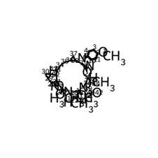 COc1ccc2nc3c(nc2c1)O[C@H]1CN(C(=O)[C@H](C(C)(C)C)NC(=O)O[C@@H]2CC4CC4[C@H]2CCCC2CC32)[C@H](C(C)=O)[C@@H]1C